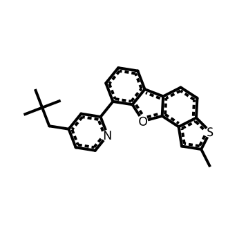 Cc1cc2c(ccc3c4cccc(-c5cc(CC(C)(C)C)ccn5)c4oc23)s1